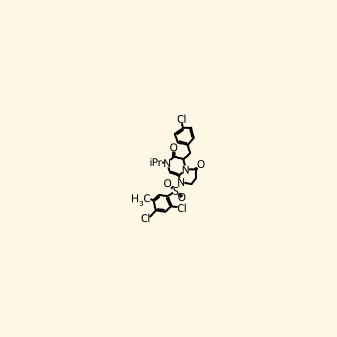 Cc1cc(S(=O)(=O)N2CCC(=O)N3C2=CN(C(C)C)C(=O)C3Cc2ccc(Cl)cc2)c(Cl)cc1Cl